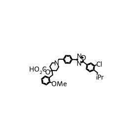 COc1ccccc1CC1(OC(=O)O)CCN(Cc2ccc(-c3noc(-c4ccc(CC(C)C)c(Cl)c4)n3)cc2)CC1